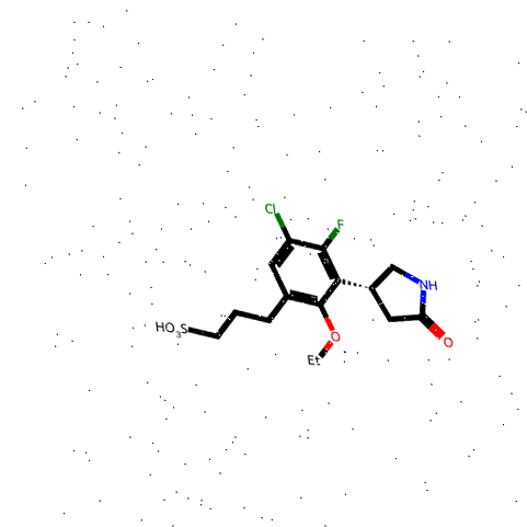 CCOc1c(CCCS(=O)(=O)O)cc(Cl)c(F)c1[C@@H]1CNC(=O)C1